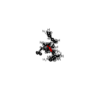 C#CC[C@H](NC(=O)[C@H](CC(=O)O)NC(=O)CC[C@H](NC(=O)c1ccc(NCc2cnc3nc(N)[nH]c(=O)c3n2)cc1)C(=O)O)C(=O)N[C@@H](CC(=O)O)C(=O)N[C@@H](CC(=O)O)C(=O)N[C@@H](CNC(=O)CCSCC1c2ccccc2-c2ccccc21)C(=O)N[C@@H](CC(=O)O)C(=O)N[C@@H](CSSCCOC(=O)NC1CC(O[C@H]2C[C@](O)(C(=O)CO)Cc3c(O)c4c(c(O)c32)C(=O)c2c(OC)cccc2C4=O)OC(C)C1O)C(=O)O